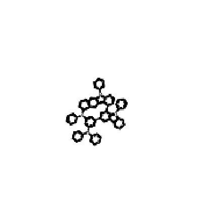 c1ccc(N(c2ccccc2)c2cc(-c3cc(-c4cccc5c4c4ccccc4n5-c4ccccc4)c4c(c3)c3ccccc3n4-c3ccccc3)cc(N(c3ccccc3)c3ccccc3)c2)cc1